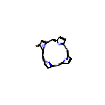 S=C1C=C2C=C3C=CC(=N3)C=c3ccc([nH]3)=CC3=NC(=CC1N2)C=C3